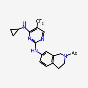 CC(=O)N1CCc2ccc(Nc3ncc(C(F)(F)F)c(NC4CC4)n3)cc2C1